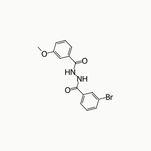 COc1cccc(C(=O)NNC(=O)c2cccc(Br)c2)c1